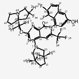 [2H]C([2H])(Oc1nc(N2C[C@H]3CC[C@@H](C2)N3)c2cc(C(F)(F)F)n(-c3cc(O)cc4ccc(F)c(F)c34)c(=O)c2n1)[C@@]12CCCN1C[C@]([2H])(F)C2